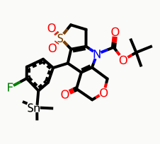 CC(C)(C)OC(=O)N1C2=C(C(=O)COC2)C(c2ccc(F)[c]([Sn]([CH3])([CH3])[CH3])c2)C2=C1CCS2(=O)=O